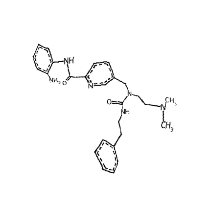 CN(C)CCN(Cc1ccc(C(=O)Nc2ccccc2N)nc1)C(=O)NCCc1ccccc1